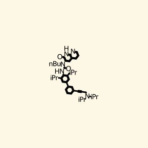 CCCCN(C(=O)Nc1c(C(C)C)cc(-c2cccc(C#CCN(C(C)C)C(C)C)c2)cc1C(C)C)c1cc2cccnc2[nH]c1=O